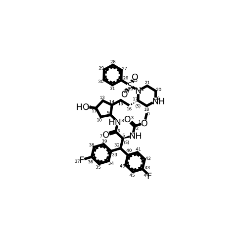 COC(=O)N[C@H](C(=O)NC1CC(O)CC1CC[C@H]1CNCCN1S(=O)(=O)c1ccccc1)C(c1ccc(F)cc1)c1ccc(F)cc1